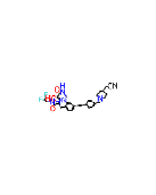 N#CCC1CCN(Cc2ccc(C#Cc3ccc(CC(C(=O)NCC(F)F)c4nc[nH]c(=O)c4O)cc3)cc2)CC1